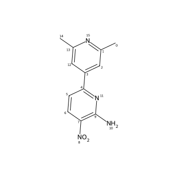 Cc1cc(-c2ccc([N+](=O)[O-])c(N)n2)cc(C)n1